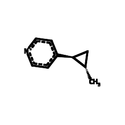 C[C@H]1C[C@@H]1c1ccncc1